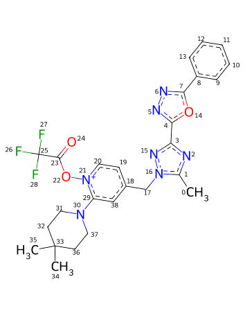 Cc1nc(-c2nnc(-c3ccccc3)o2)nn1Cc1cc[n+](OC(=O)C(F)(F)F)c(N2CCC(C)(C)CC2)c1